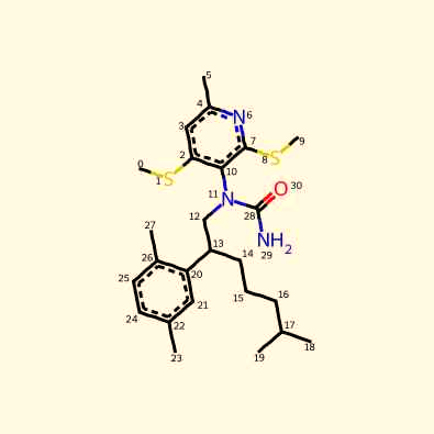 CSc1cc(C)nc(SC)c1N(CC(CCCC(C)C)c1cc(C)ccc1C)C(N)=O